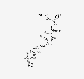 CCN(CCC(=O)OCC#N)c1ccc(N=Nc2nc3ccc([N+](=O)[O-])cc3s2)c(C)c1